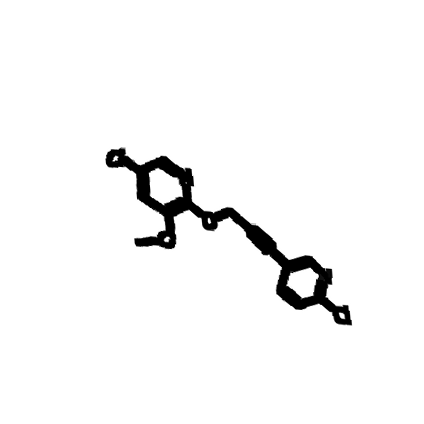 COc1cc(Cl)cnc1OCC#Cc1ccc(Cl)nc1